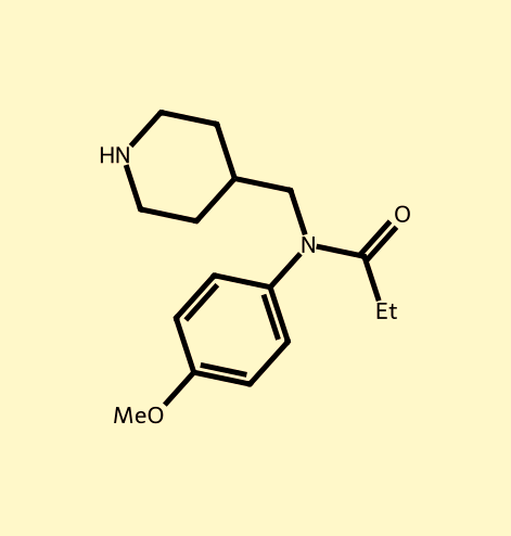 CCC(=O)N(CC1CCNCC1)c1ccc(OC)cc1